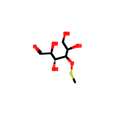 CSO[C@@H]([C@H](O)[C@H](O)C=O)[C@H](O)CO